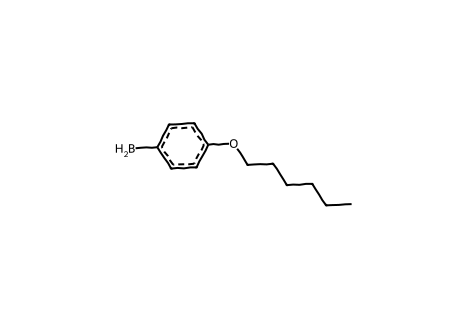 Bc1ccc(OCCCCCC)cc1